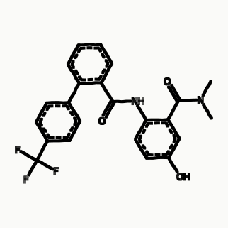 CN(C)C(=O)c1cc(O)ccc1NC(=O)c1ccccc1-c1ccc(C(F)(F)F)cc1